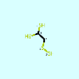 SSCC(S)S